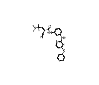 CN(C)C(C)(C)C=C(C#N)C(=O)Nc1cccc(Nc2nccc(Sc3ccccc3)n2)c1